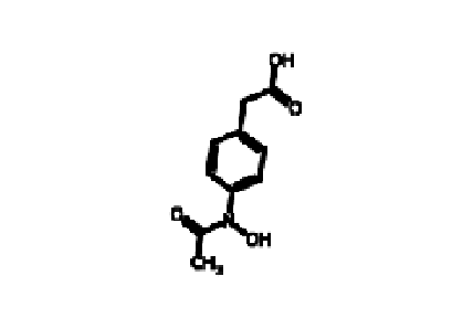 CC(=O)N(O)c1ccc(CC(=O)O)cc1